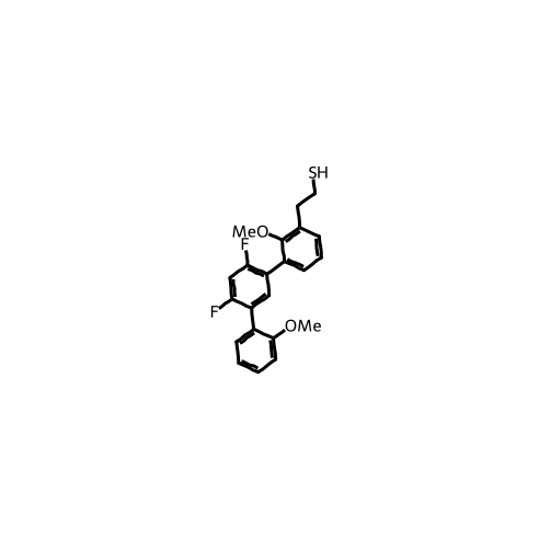 COc1ccccc1-c1cc(-c2cccc(CCS)c2OC)c(F)cc1F